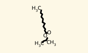 CCCCCCCCCCCC(=O)OCC(C)CC